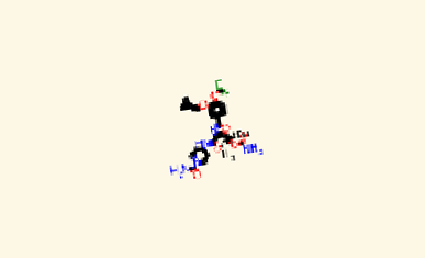 CC(C)(C)C(C)(OC(N)=O)c1oc(-c2ccc(OC(F)F)c(OCC3CC3)c2)nc1C(=O)NC1CCN(C(N)=O)CC1